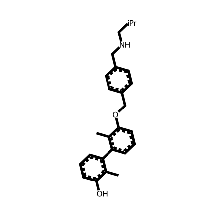 Cc1c(O)cccc1-c1cccc(OCc2ccc(CNCC(C)C)cc2)c1C